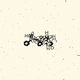 CO[C@@](C(=O)O)(C(OCc1ccccc1)OP(=O)(O)O)N(c1ccccc1)C(O)[C@H]1O[C@@H](n2ccc(=O)[nH]c2=O)[C@](C)(O)[C@@H]1O